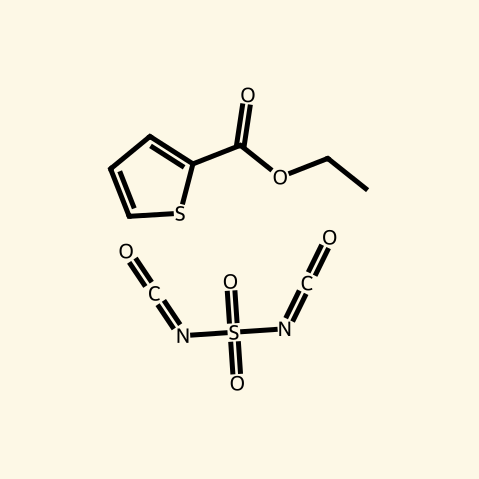 CCOC(=O)c1cccs1.O=C=NS(=O)(=O)N=C=O